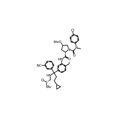 CO[C@@H]1C[C@H](C(=O)Nc2cc(C(CCC3CC3)(NC[S+]([O-])C(C)(C)C)c3cccc(C#N)c3)ccc2F)N(C(=O)N(C)c2ccc(Cl)cc2)C1